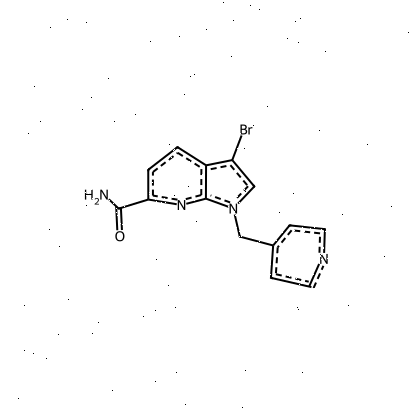 NC(=O)c1ccc2c(Br)cn(Cc3ccncc3)c2n1